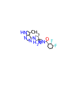 Cc1c[nH]c2ncnc(N3CC[C@](N)(CNC(=O)c4cccc(F)c4F)C3)c12